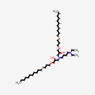 CCCCCCCCCCCSCCCOCC(O)CN(CCCCN(CC)CC)CC(O)COCCCSCCCCCCCCCCC